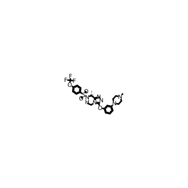 CCn1c(Oc2cccc(N3CCN(C)CC3)c2)nnc1[C@@H](C)NS(=O)(=O)c1ccc(OC(F)(F)F)cc1